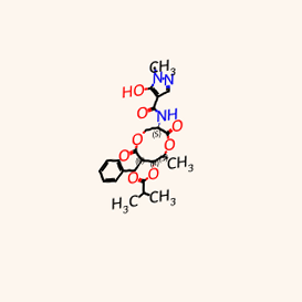 CC(C)C(=O)O[C@H]1[C@H](C)OC(=O)[C@@H](NC(=O)c2cnn(C)c2O)COC(=O)[C@@H]1Cc1ccccc1